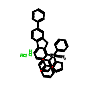 Cl.Cl.[SiH2]=[Zr]([C]1=CC=CC1)([c]1ccccc1)([c]1ccccc1)[c]1c(-c2ccccc2)ccc2c1Cc1cc(-c3ccccc3)ccc1-2